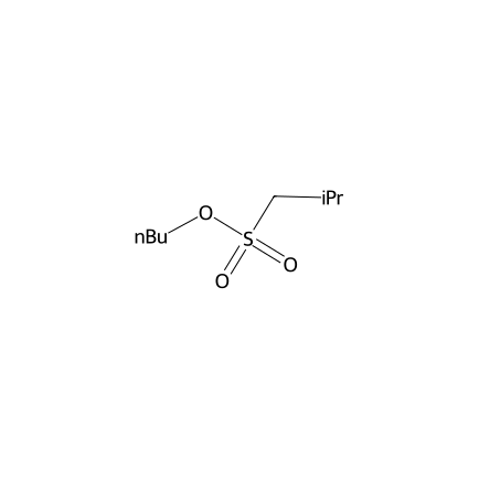 CCCCOS(=O)(=O)CC(C)C